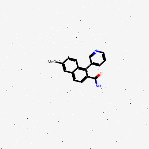 COc1ccc2c(-c3cccnc3)c(C(N)=O)ccc2c1